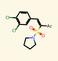 CC(=O)C(=Cc1ccc(Cl)c(Cl)c1)S(=O)(=O)N1CCCC1